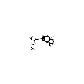 CC1=C2[C@H](C)[C@H](O)[C@@]3(C)[C@H]([C@H](C)[C@](O)(C[C@@H]1OC(=O)[C@H](O)[C@H](CC(C)C)NC(=O)OC(C)(C)C)C2(C)C)[C@]1(C)CO[C@@H]1C[C@@H]3O